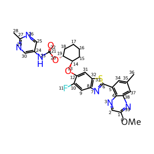 COc1cnc2c(-c3nc4cc(F)c(O[C@@H]5CCCC[C@H]5OC(=O)Nc5cnc(C)nc5)cc4s3)cc(C)cc2n1